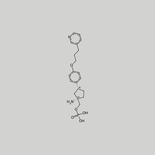 N[C@@]1(COP(=O)(O)O)CC[C@@H](c2ccc(OCCCc3cccnc3)cc2)C1